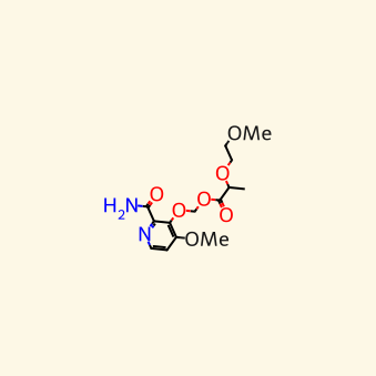 COCCOC(C)C(=O)OCOc1c(OC)ccnc1C(N)=O